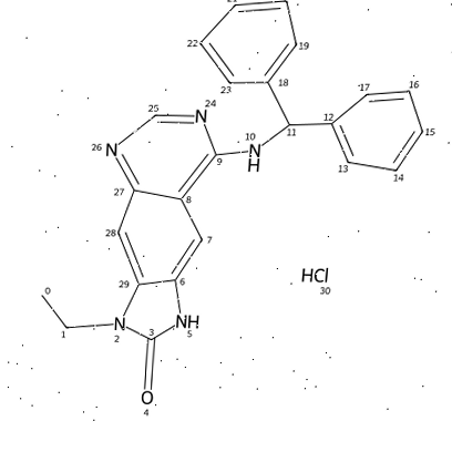 CCn1c(=O)[nH]c2cc3c(NC(c4ccccc4)c4ccccc4)ncnc3cc21.Cl